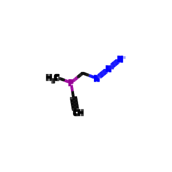 C#CP(C)CN=[N+]=[N-]